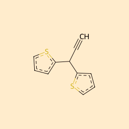 C#CC(c1cccs1)c1cccs1